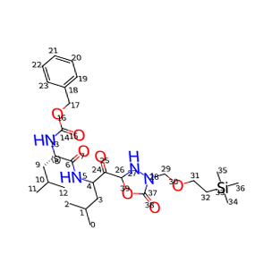 CC(C)CC(NC(=O)[C@H](CC(C)C)NC(=O)OCc1ccccc1)C(=O)C1NN(COCC[Si](C)(C)C)C(=O)O1